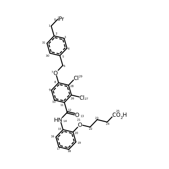 CC(C)Cc1ccc(COc2ccc(C(=O)Nc3ccccc3OCCCC(=O)O)c(Cl)c2Cl)cc1